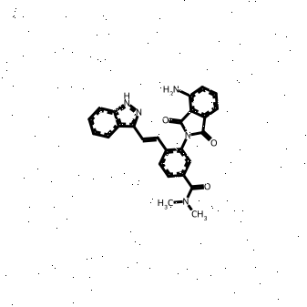 CN(C)C(=O)c1ccc(/C=C/c2n[nH]c3ccccc23)c(N2C(=O)c3cccc(N)c3C2=O)c1